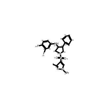 Cc1nn(C(C)C)cc1S(=O)(=O)N1CC(Nc2ccc(F)c(F)c2)C(c2ccccc2)C1